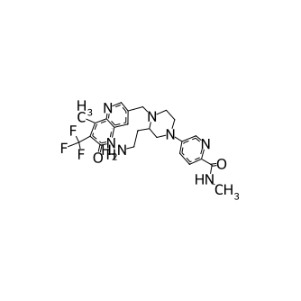 CNC(=O)c1ccc(N2CCN(Cc3cnc4c(C)c(C(F)(F)F)c(=O)[nH]c4c3)C(CCN)C2)cn1